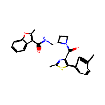 Cc1cccc(-c2sc(C)nc2C(=O)N2CC[C@H]2CNC(=O)c2c(C)oc3ccccc23)c1